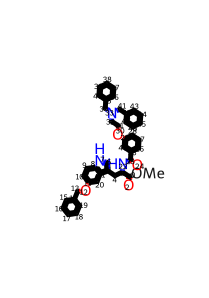 COC(=O)C(Cc1c[nH]c2ccc(OCc3ccccc3)cc12)NC(=O)c1cccc(OCCN(Cc2ccccc2)Cc2ccccc2)c1